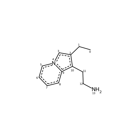 CCc1cn2ccccc2c1CCN